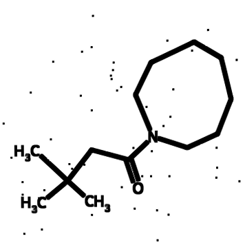 CC(C)(C)CC(=O)N1CCCCCCC1